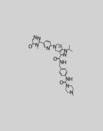 CC(C)n1nc(C(=O)NCc2ccc(NC(=O)N3CCN(C)CC3)cc2)c2c1[C@@H](C)CN(c1ccc(-c3nncc(=O)n3C)cn1)C2